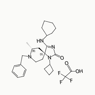 C[C@@H]1C[C@@]2(CCN1Cc1ccccc1)C(NC1CCCCC1)=NC(=O)N2C1CCC1.O=C(O)C(F)(F)F